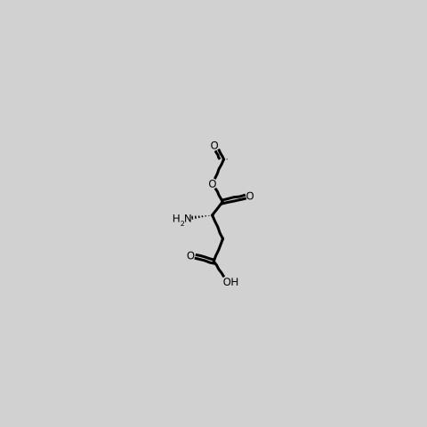 N[C@@H](CC(=O)O)C(=O)O[C]=O